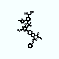 CCOC(=O)[C@@H]1CC2(CCN(c3cc(O[C@H](c4ccc(C(O)CO)cc4-n4ccc(C)n4)C(F)(F)F)nc(N)n3)CC2)CN1C(=O)OCc1ccccc1